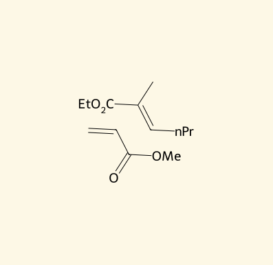 C=CC(=O)OC.CCCC=C(C)C(=O)OCC